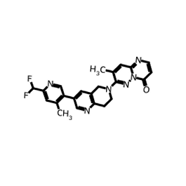 Cc1cc(C(F)F)ncc1-c1cnc2c(c1)CN(c1nn3c(=O)ccnc3cc1C)CC2